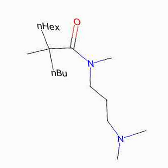 CCCCCCC(C)(CCCC)C(=O)N(C)CCCN(C)C